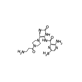 Bc1cnc(N)c(C(=O)Nc2[nH]c(=O)ncc2N2CCN(C(=O)CCN)CC2)n1